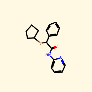 O=C(Nc1ccccn1)C(SC1CCCC1)c1ccccc1